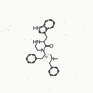 CN(Cc1ccccc1)C[C@H](Cc1ccccc1)N1CCNC(Cc2c[nH]c3ccccc23)C1=O